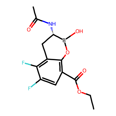 CCOC(=O)c1cc(F)c(F)c2c1OB(O)[C@@H](NC(C)=O)C2